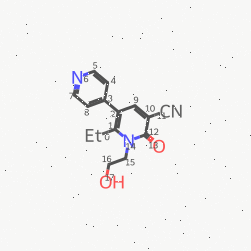 CCc1c(-c2ccncc2)cc(C#N)c(=O)n1CCO